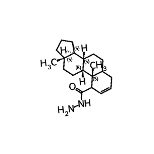 C[C@@]12CCC[C@H]1[C@@H]1CCC3CC=CC(C(=O)NN)[C@]3(C)[C@@H]1CC2